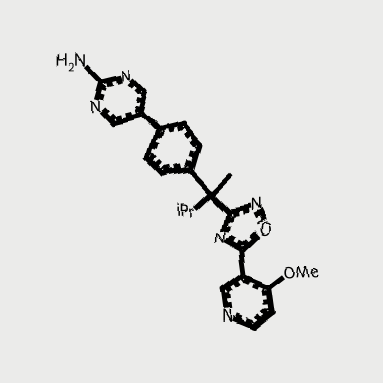 COc1ccncc1-c1nc(C(C)(c2ccc(-c3cnc(N)nc3)cc2)C(C)C)no1